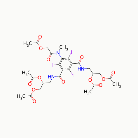 CC(=O)OCC(=O)N(C)c1c(I)c(C(=O)NCC(COC(C)=O)OC(C)=O)c(I)c(C(=O)NCC(COC(C)=O)OC(C)=O)c1I